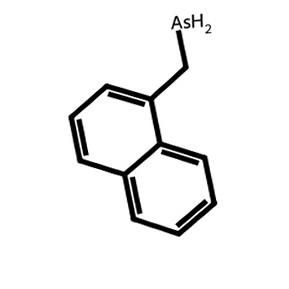 [AsH2]Cc1cccc2ccccc12